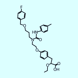 CCOC(Cc1ccc(OCCN(CCCOCc2ccc(F)cc2)C(=O)Nc2ccc(C)cc2)cc1)C(=O)O